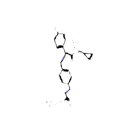 COC(=O)/C=C/c1ccc(/C=C(\C(=O)NC2CC2)c2ccc(F)cc2)cc1